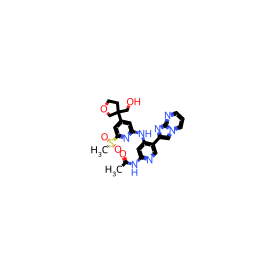 CC(=O)Nc1cc(Nc2cc(C3(CO)CCOC3)cc(S(C)(=O)=O)n2)c(-c2cn3cccnc3n2)cn1